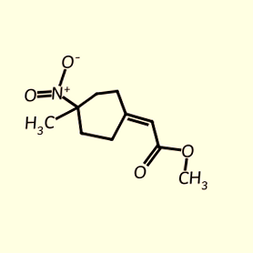 COC(=O)C=C1CCC(C)([N+](=O)[O-])CC1